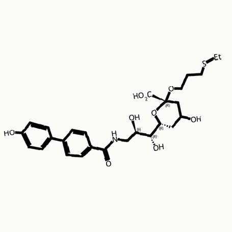 CCSCCCO[C@]1(C(=O)O)CC(O)C[C@H]([C@H](O)[C@H](O)CNC(=O)c2ccc(-c3ccc(O)cc3)cc2)O1